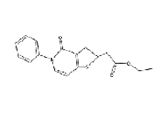 CCOC(=O)CC1Cc2c(ccn(-c3ccccc3)c2=O)S1